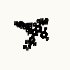 CS(=O)(=O)O.N[C@@H]1[C@H]2CN(c3nc4c(cc3F)c(=O)c(C(=O)O)cn4-c3ccc(F)cc3F)C[C@@H]12.O.O.O.O.O